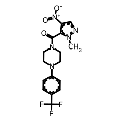 Cn1ncc([N+](=O)[O-])c1C(=O)N1CCN(c2ccc(C(F)(F)F)cc2)CC1